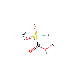 COC(=O)S(=O)(=O)F.[LiH]